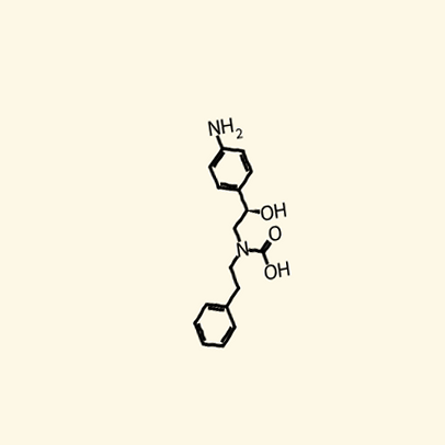 Nc1ccc([C@@H](O)CN(CCc2ccccc2)C(=O)O)cc1